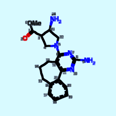 COC(=O)C1CN(c2nc(N)nc3c2CCCc2ccccc2-3)C[C@@H]1N